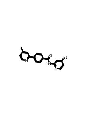 CCc1ccnc(NC(=O)c2ccc(-c3cc(C)ccn3)cc2)c1